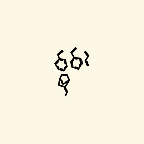 C=CC=C.C=Cc1ccccc1.C=Cc1ccccc1.CC=C1CC2C=CC1C2